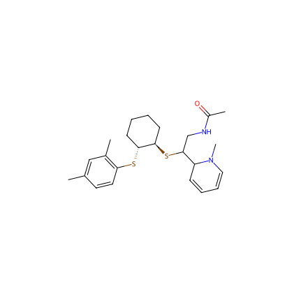 CC(=O)NCC(S[C@@H]1CCCC[C@H]1Sc1ccc(C)cc1C)C1C=CC=CN1C